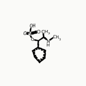 CNC(C)C(OS(=O)(=O)O)c1ccccc1